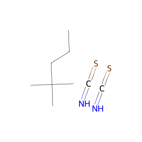 CCCC(C)(C)C.N=C=S.N=C=S